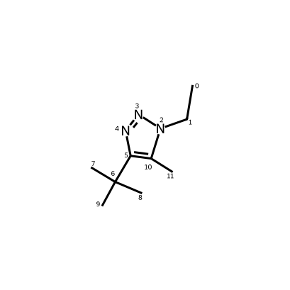 CCn1nnc(C(C)(C)C)c1C